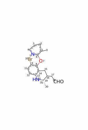 Cc1cccnc1Oc1c(Br)ccc2c1CC(CC=O)[C@H](C)N2